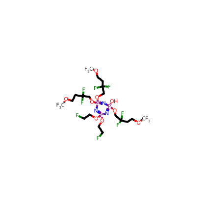 OP1(OCC(F)(F)CCOC(F)(F)F)=NP(OCCF)(OCCF)=NP(OCC(F)(F)CCOC(F)(F)F)(OCC(F)(F)CCOC(F)(F)F)=N1